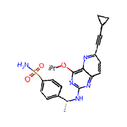 CC(C)Oc1nc(N[C@H](C)c2ccc(S(N)(=O)=O)cc2)nc2ccc(C#CC3CC3)nc12